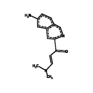 CN(C)C=CC(=O)c1cc2cc(N)ccc2cn1